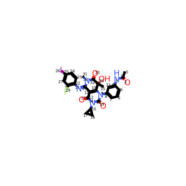 CC(=O)Nc1cccc(-n2c3c(c(=O)n(C4CC4)c2=O)C(=Nc2ccc(I)cc2F)N(C)C(=O)C3(C)O)c1